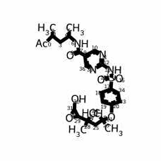 CC(=O)C(C)CC(C)NC(=O)c1cnc(NS(=O)(=O)c2ccc(OC(C)(C)CC(C)(C)C3OC3O)cc2)nc1